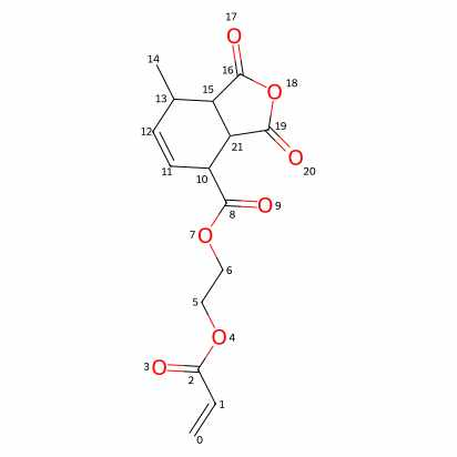 C=CC(=O)OCCOC(=O)C1C=CC(C)C2C(=O)OC(=O)C12